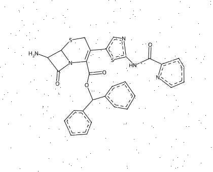 NC1C(=O)N2C(C(=O)OC(c3ccccc3)c3ccccc3)=C(c3cnc(NC(=O)c4ccccn4)s3)CSC12